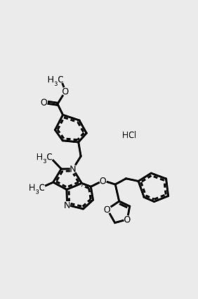 COC(=O)c1ccc(Cn2c(C)c(C)c3nccc(OC(Cc4ccccc4)C4=COCO4)c32)cc1.Cl